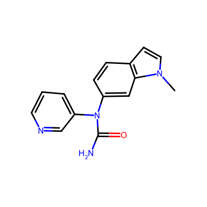 Cn1ccc2ccc(N(C(N)=O)c3cccnc3)cc21